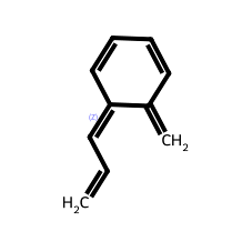 C=C/C=c1/ccccc1=C